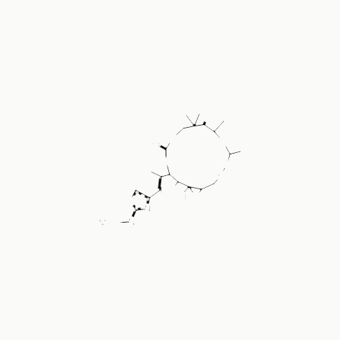 CON=c1[nH]c(C=C(C)C2OC(=O)CCC(C)(C)C(=O)C(C)CC(C)CCCC3OC3(O)C2O)cs1